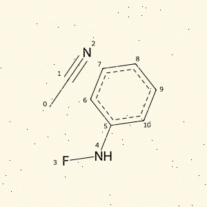 CC#N.FNc1ccccc1